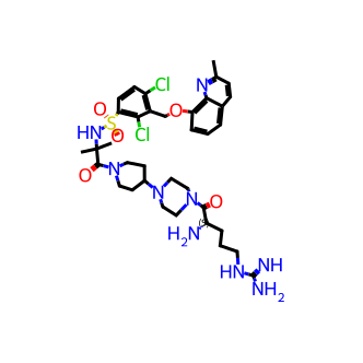 Cc1ccc2cccc(OCc3c(Cl)ccc(S(=O)(=O)NC(C)(C)C(=O)N4CCC(N5CCN(C(=O)[C@@H](N)CCCNC(=N)N)CC5)CC4)c3Cl)c2n1